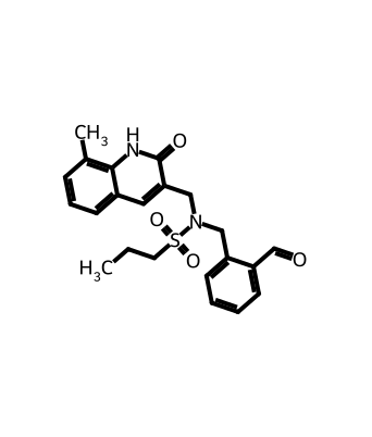 CCCS(=O)(=O)N(Cc1ccccc1C=O)Cc1cc2cccc(C)c2[nH]c1=O